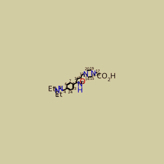 CCN(CC)N=Cc1ccc(C2CC(CN3CCN(CC(=O)O)CC3)ON2)cc1